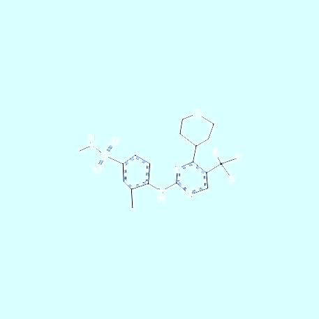 CNS(=O)(=O)c1ccc(Nc2ncc(C(F)(F)F)c(C3CCOCC3)n2)c(C)c1